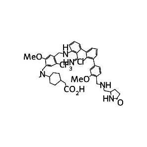 COc1cc(-c2cccc(-c3cccc(NCc4cc(OC)c(CN(C)C5CCC(CC(=O)O)CC5)cc4C(F)(F)F)c3C=N)c2Cl)ccc1CNCC1CCC(=O)N1